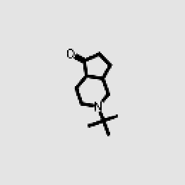 CC(C)(C)N1CCC2C(=O)CCC2C1